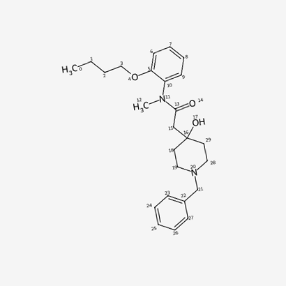 CCCCOc1ccccc1N(C)C(=O)CC1(O)CCN(Cc2ccccc2)CC1